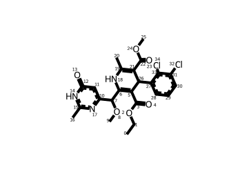 CCOC(=O)C1=C(C(OC)c2cc(=O)[nH]c(C)n2)NC(C)=C(C(=O)OC)C1c1cccc(Cl)c1Cl